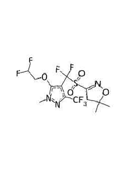 Cn1nc(C(F)(F)F)c(C(F)(F)S(=O)(=O)C2=NOC(C)(C)C2)c1OCC(F)F